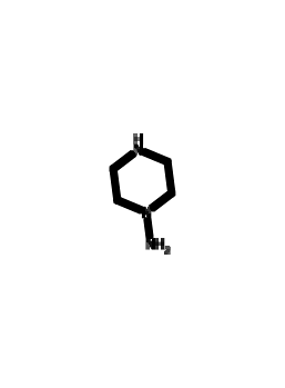 NN1CCNCC1